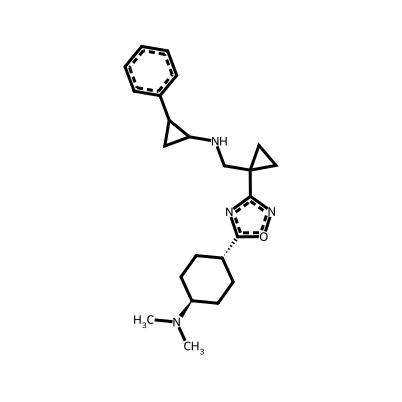 CN(C)[C@H]1CC[C@H](c2nc(C3(CNC4CC4c4ccccc4)CC3)no2)CC1